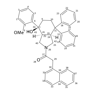 COc1ccccc1[C@]1(O)CCC(c2ccccc2)(c2ccccc2)[C@H]2CN(C(=O)Cc3cccc4ccccc34)C[C@H]21